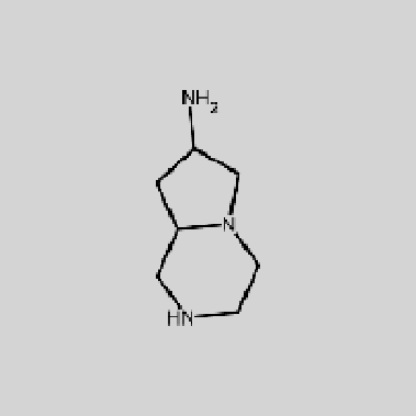 NC1CC2CNCCN2C1